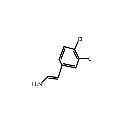 N/C=C/c1ccc(Cl)c(Cl)c1